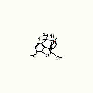 [2H]C1([2H])c2ccc(OC)c3c2[C@]24CCN(C)[C@@]1([2H])[C@@H]2C=CC(O)C4O3